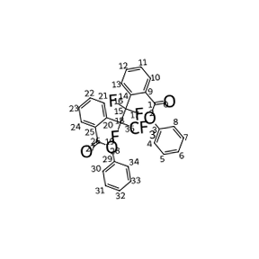 O=C(Oc1ccccc1)c1ccccc1C(F)(F)C(F)(c1ccccc1C(=O)Oc1ccccc1)C(F)(F)F